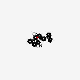 N#Cc1ccc(-c2ccccc2-n2c3ccccc3c3cc(-n4c5ccccc5c5ccccc54)ccc32)c(-n2c3ccccc3c3ccc(C#N)cc32)c1